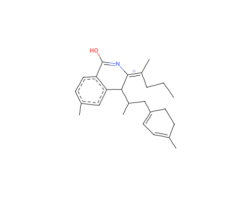 CCC/C(C)=C1/N=C(O)c2ccc(C)cc2C1C(C)CC1=CC=C(C)CC1